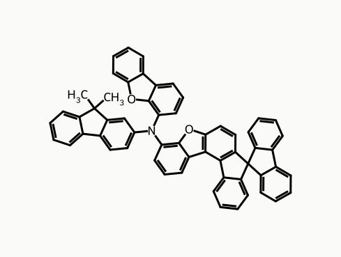 CC1(C)c2ccccc2-c2ccc(N(c3cccc4c3oc3ccccc34)c3cccc4c3oc3ccc5c(c34)-c3ccccc3C53c4ccccc4-c4ccccc43)cc21